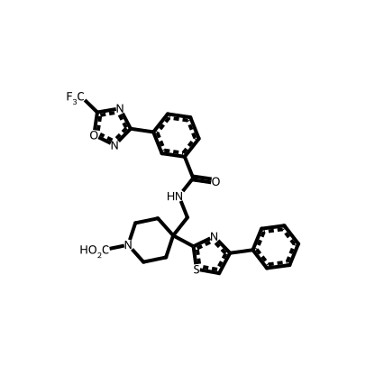 O=C(NCC1(c2nc(-c3ccccc3)cs2)CCN(C(=O)O)CC1)c1cccc(-c2noc(C(F)(F)F)n2)c1